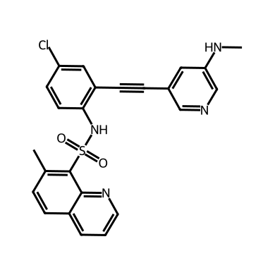 CNc1cncc(C#Cc2cc(Cl)ccc2NS(=O)(=O)c2c(C)ccc3cccnc23)c1